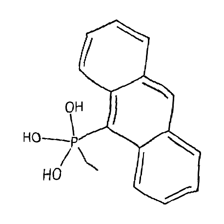 CP(O)(O)(O)c1c2ccccc2cc2ccccc12